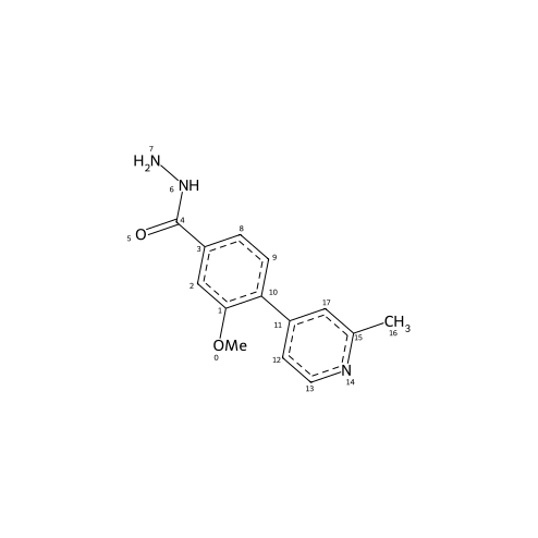 COc1cc(C(=O)NN)ccc1-c1ccnc(C)c1